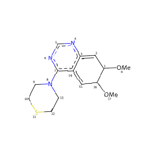 COC1C=c2ncnc(N3CCSCC3)c2=CC1OC